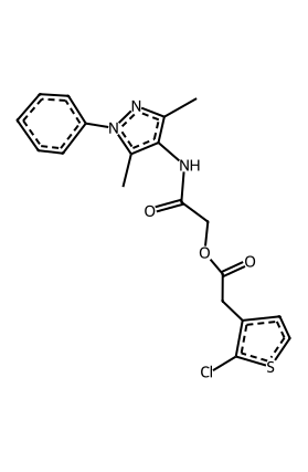 Cc1nn(-c2ccccc2)c(C)c1NC(=O)COC(=O)Cc1ccsc1Cl